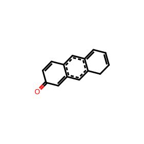 O=C1C=Cc2cc3c(cc2=C1)CC=CC=3